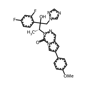 COc1ccc(-c2cc3cnn([C@H](C)C(O)(Cn4cncn4)c4ccc(F)cc4F)c(=O)n3c2)cc1